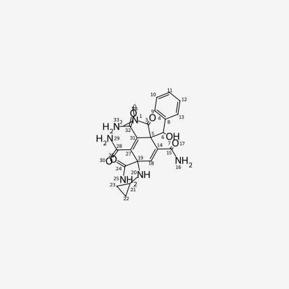 CN(C)C(=O)C1(C(O)c2ccccc2)C(C(N)=O)=CC(NC2CC2)(C(N)=O)C(C(N)=O)=C1C(N)=O